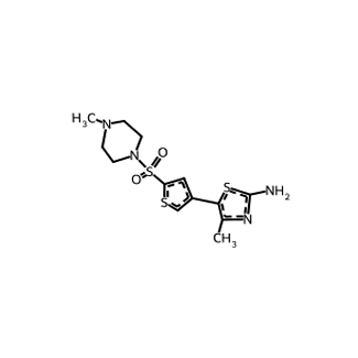 Cc1nc(N)sc1-c1csc(S(=O)(=O)N2CCN(C)CC2)c1